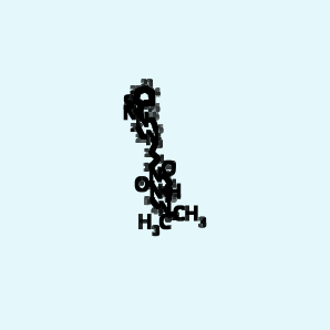 CC(C)N1CCN2C(=O)N(CCCCN3CCN(c4nsc5ccccc45)CC3)C(=O)C[C@H]2C1